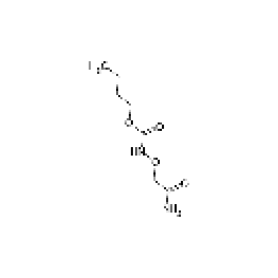 CCCCOC(=O)NOCC(N)=O